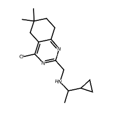 CC(NCc1nc(Cl)c2c(n1)CCC(C)(C)C2)C1CC1